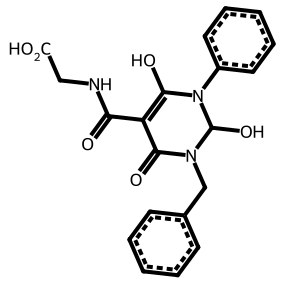 O=C(O)CNC(=O)C1=C(O)N(c2ccccc2)C(O)N(Cc2ccccc2)C1=O